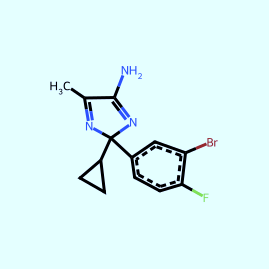 CC1=NC(c2ccc(F)c(Br)c2)(C2CC2)N=C1N